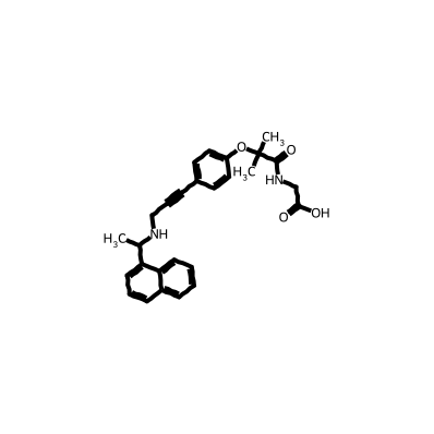 CC(NCC#Cc1ccc(OC(C)(C)C(=O)NCC(=O)O)cc1)c1cccc2ccccc12